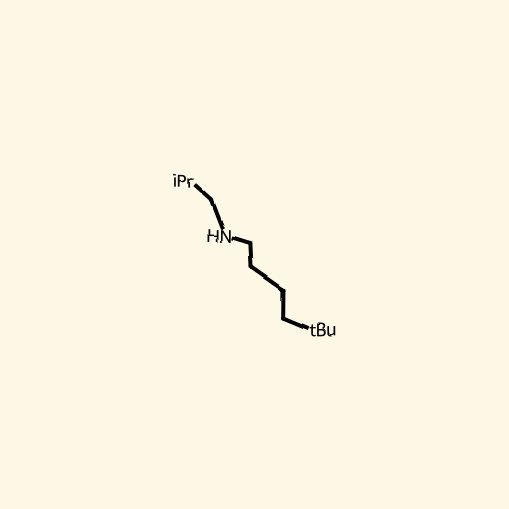 CC(C)CNCCCCC(C)(C)C